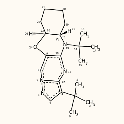 CC(C)(C)c1cnn2cc3c(nc12)N(C(C)(C)C)[C@H]1CCCC[C@@H]1O3